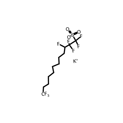 O=S(=O)([O-])C(F)(F)C(F)(F)C(F)CCCCCCCCC(F)(F)F.[K+]